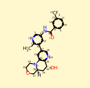 Cc1ncc(NC(=O)c2cccc(C(F)(F)F)c2)cc1-c1cnc2c(c1)N1CCOC[C@H]1C[C@H]2O